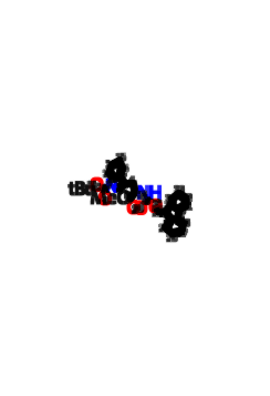 COC(=O)C(Cc1cn(C(=O)OC(C)(C)C)c2ccccc12)NC(=O)OCC1c2ccccc2-c2ccccc21